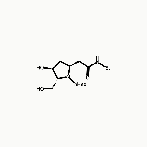 CCCCCCN1[C@H](CC(=O)NCC)C[C@H](O)[C@H]1CO